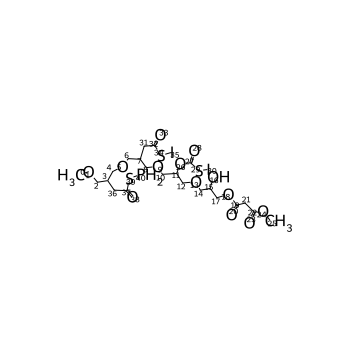 COCC(COCC(COCC(COCC(O)COC(=O)CC(=O)OC)OC(=O)SI)CC(=O)SI)CC(=O)SP